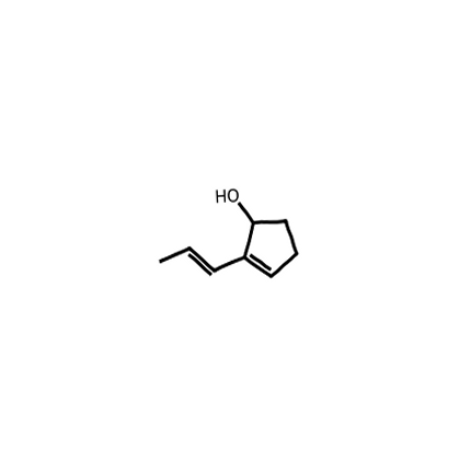 CC=CC1=CCCC1O